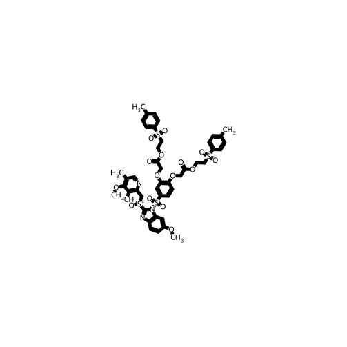 COc1ccc2nc([S+]([O-])Cc3ncc(C)c(OC)c3C)n(S(=O)(=O)c3ccc(OCC(=O)OCCS(=O)(=O)c4ccc(C)cc4)c(OCC(=O)OCCS(=O)(=O)c4ccc(C)cc4)c3)c2c1